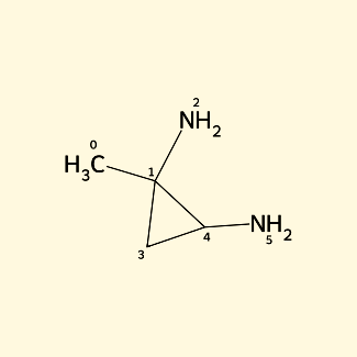 CC1(N)CC1N